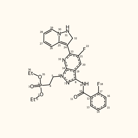 CCOP(=O)(CCn1nc(NC(=O)c2ccccc2F)c2cc(F)c(C3=C4C=CC=CN4NC3)nc21)OCC